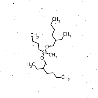 CCCCC(CC)C[O][Sn]([CH3])([CH2]CCC)[O]CC(CC)CCCC